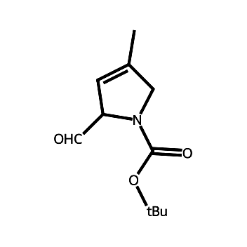 CC1=CC(C=O)N(C(=O)OC(C)(C)C)C1